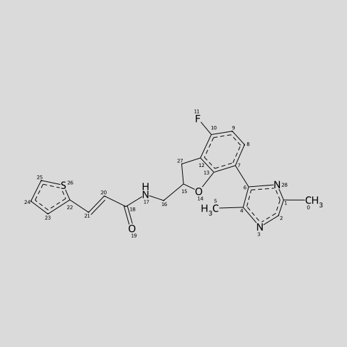 Cc1cnc(C)c(-c2ccc(F)c3c2OC(CNC(=O)/C=C/c2cccs2)C3)n1